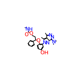 CNC(=O)OCCC(Oc1ccc(O)cc1-n1nc2c(N(C)C)nnc(C)c2c1C)c1ccccc1